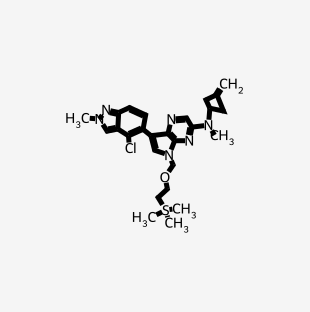 C=C1CC(N(C)c2cnc3c(-c4ccc5nn(C)cc5c4Cl)cn(COCCS(C)(C)C)c3n2)C1